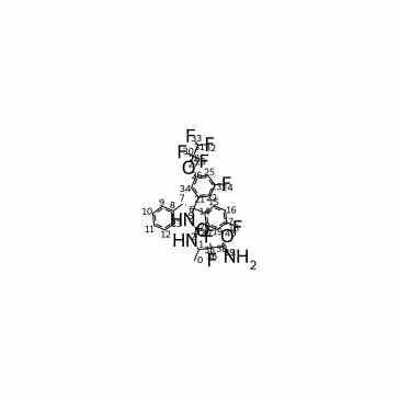 CC(NC(=O)N[C@](Cc1ccccc1)(c1ccc(F)cc1)c1cc(F)cc(OC(F)(F)C(F)F)c1)C(F)(F)C(N)=O